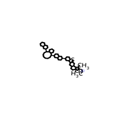 C/C=C\c1oc2ccc3cc4c(cc3c2c1C)sc1ccc(-c2ccc3cc(-c5ccccccc(-c6ccc7ccccc7c6)c6ccccc56)ccc3c2)cc14